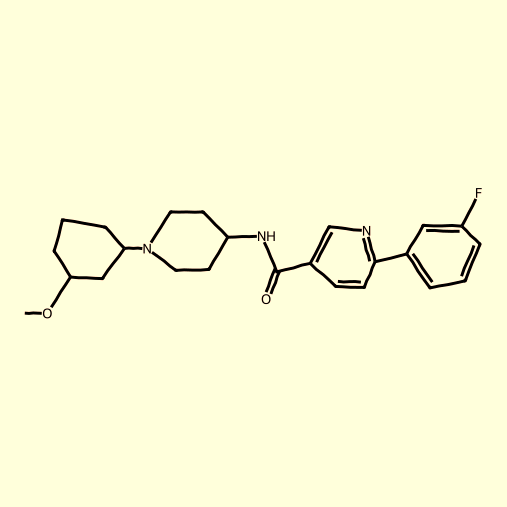 COC1CCCC(N2CCC(NC(=O)c3ccc(-c4cccc(F)c4)nc3)CC2)C1